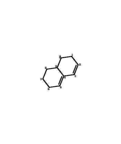 [CH]1CC=CC2=CCCCC12